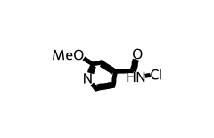 COc1cc(C(=O)NCl)ccn1